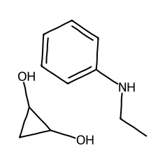 CCNc1ccccc1.OC1CC1O